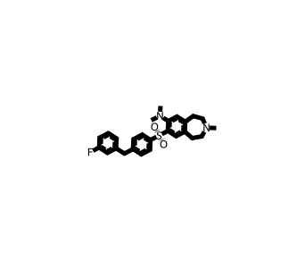 CN1CCc2cc(N(C)C)c(S(=O)(=O)c3ccc(Cc4cccc(F)c4)cc3)cc2CC1